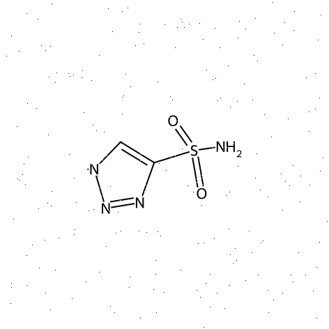 NS(=O)(=O)C1=C[N]N=N1